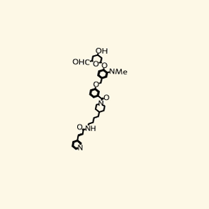 CNc1cc(COc2cccc(C(=O)N3CCC(CCCCNC(=O)/C=C/c4cccnc4)CC3)c2)ccc1OC1CC(O)CC(C=O)O1